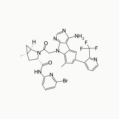 Cc1cc(-c2cccnc2C(F)(F)F)cc2c3c(N)ncnc3n(CC(=O)N3[C@H](C(=O)Nc4cccc(Br)n4)C[C@@]4(C)C[C@@H]34)c12